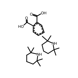 CC1(C)CCCC(C)(C)N1.CC1(C)CCCC(C)(C)N1.O=C(O)c1ccccc1C(=O)O